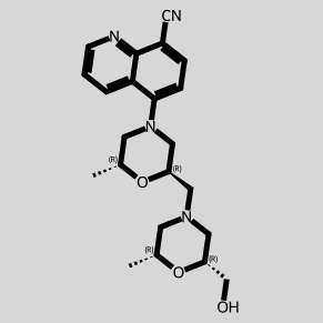 C[C@@H]1CN(C[C@@H]2CN(c3ccc(C#N)c4ncccc34)C[C@@H](C)O2)C[C@H](CO)O1